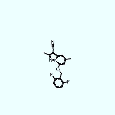 Cc1cc(OCc2c(F)cccc2F)n2nc(C)c(C#N)c2c1